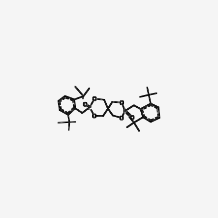 CC(C)(C)c1cccc(C(C)(C)C)c1CP1(=O)OCC2(CO1)COP(=O)(Cc1c(C(C)(C)C)cccc1C(C)(C)C)OC2